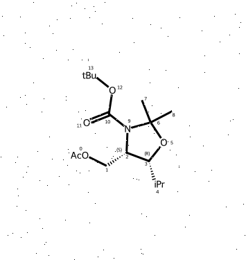 CC(=O)OC[C@H]1[C@@H](C(C)C)OC(C)(C)N1C(=O)OC(C)(C)C